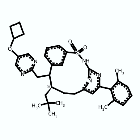 Cc1cccc(C)c1-c1cc2nc(n1)NS(=O)(=O)c1cccc(c1)C(Cc1ncc(OC3CCC3)cn1)[C@H](CC(C)(C)C)CC2